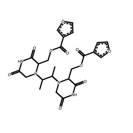 CC(C(C)N1CC(=O)NC(=O)C1COC(=O)c1ccoc1)N1CC(=O)NC(=O)C1COC(=O)c1ccoc1